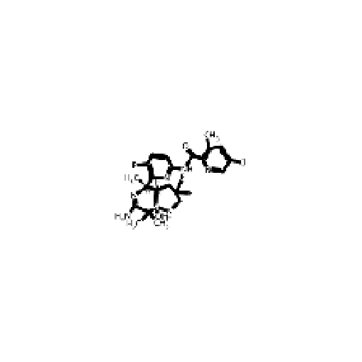 Cc1cc(Cl)cnc1C(=O)Nc1ccc(F)c([C@@]2(C)N=C(N)C(C)(C)S3(O)NCC(F)(F)C[C@H]23)n1